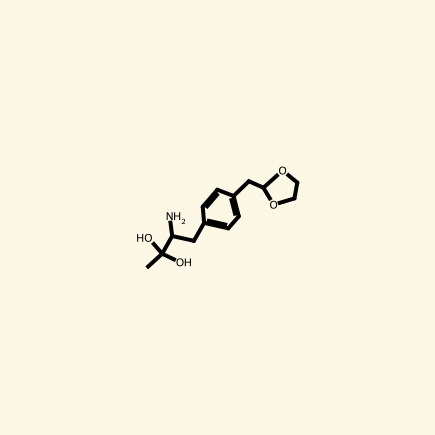 CC(O)(O)C(N)Cc1ccc(CC2OCCO2)cc1